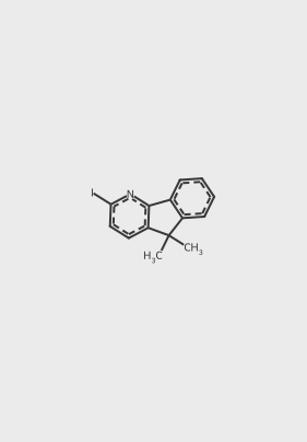 CC1(C)c2ccccc2-c2nc(I)ccc21